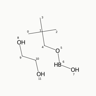 CC(C)(C)COBO.OCCO